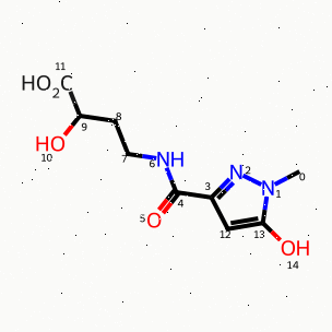 Cn1nc(C(=O)NCCC(O)C(=O)O)cc1O